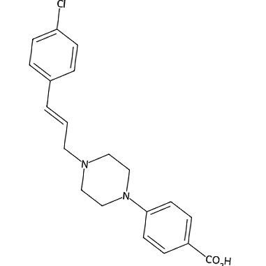 O=C(O)c1ccc(N2CCN(CC=Cc3ccc(Cl)cc3)CC2)cc1